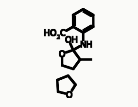 C1CCOC1.CC1CCOC1(O)Nc1ccccc1C(=O)O